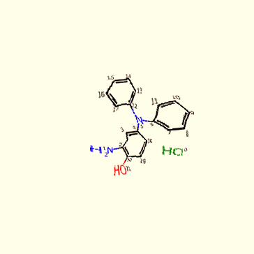 Cl.Nc1cc(N(c2ccccc2)c2ccccc2)ccc1O